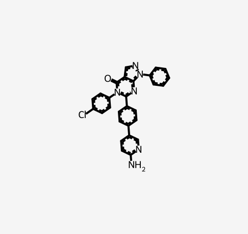 Nc1ccc(-c2ccc(-c3nc4c(cnn4-c4ccccc4)c(=O)n3-c3ccc(Cl)cc3)cc2)cn1